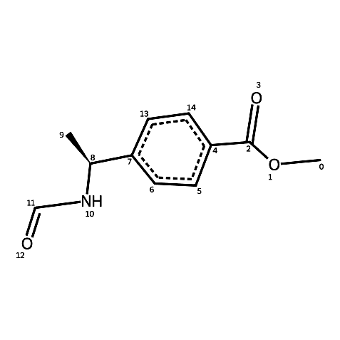 COC(=O)c1ccc([C@H](C)NC=O)cc1